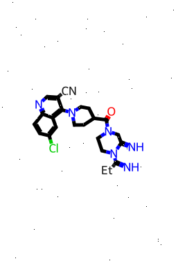 CCC(=N)N1CCN(C(=O)C2CCN(c3c(C#N)cnc4ccc(Cl)cc34)CC2)CC1=N